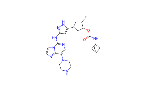 O=C(NC12CC(C1)C2)OC1CC(c2cc(Nc3ncc(N4CCNCC4)c4nccn34)n[nH]2)CC1F